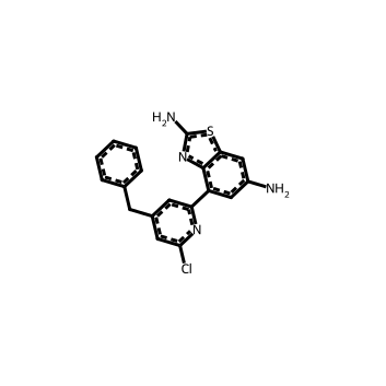 Nc1cc(-c2cc(Cc3ccccc3)cc(Cl)n2)c2nc(N)sc2c1